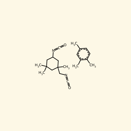 CC1(C)CC(N=C=O)CC(C)(CN=C=O)C1.Cc1ccc(C)c(C)c1